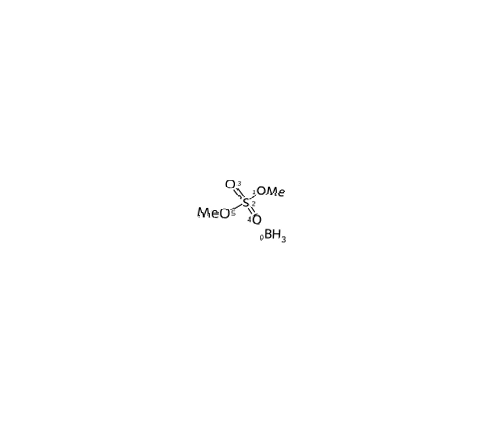 B.COS(=O)(=O)OC